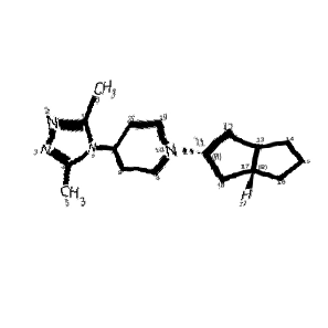 Cc1nnc(C)n1C1CCN([C@@H]2C[C]3CCC[C@@H]3C2)CC1